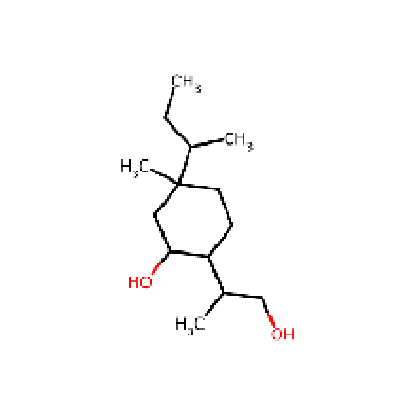 CCC(C)C1(C)CCC(C(C)CO)C(O)C1